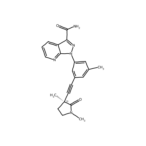 Cc1cc(C#C[C@]2(C)CCN(C)C2=O)cc(-n2nc(C(N)=O)c3cccnc32)c1